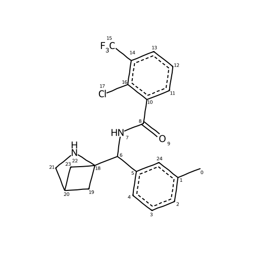 Cc1cccc(C(NC(=O)c2cccc(C(F)(F)F)c2Cl)C23CC(CN2)C3)c1